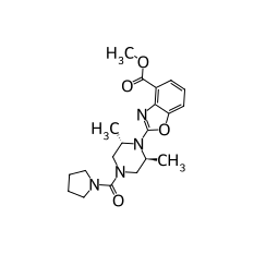 COC(=O)c1cccc2oc(N3[C@@H](C)CN(C(=O)N4CCCC4)C[C@@H]3C)nc12